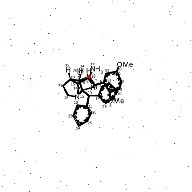 COc1ccc(OC)c(CN[C@H]2[C@H]3CCN(C[C@@H]3C(N)=O)[C@H]2C(c2ccccc2)c2ccccc2)c1